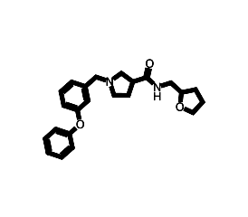 O=C(NCC1CCCO1)C1CCN(Cc2cccc(Oc3ccccc3)c2)C1